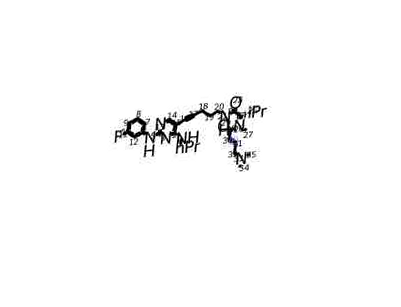 CCCNc1nc(Nc2cccc(F)c2)ncc1C#CCCCNC(=O)[C@H](C(C)C)N(C)C(=O)/C=C/CN(C)C